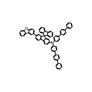 c1ccc(-c2ccc(-c3ccc(N(c4ccc(-c5ccc(-c6ccccc6)cc5)cc4)c4ccc5c(c4)C4(c6ccccc6-c6ccccc64)c4cc(-c6ccc7oc8ccccc8c7c6)ccc4-5)cc3)cc2)cc1